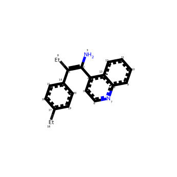 CCC(=C(N)c1ccnc2ccccc12)c1ccc(CC)cc1